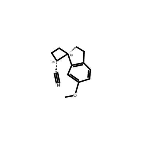 COc1ccc2c(c1)[C@]1(CC2)CC[C@H]1C#N